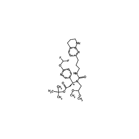 COC(CN(C(=O)NCCCc1ccc2c(n1)NCCC2)[C@@H](CC(=O)OC(C)(C)C)c1ccc(OC(F)F)nc1)OC